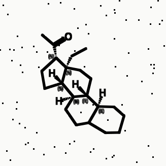 CC[C@]12CC[C@H]3[C@@H](CCC4CCCC[C@@H]43)[C@@H]1CC[C@@H]2C(C)=O